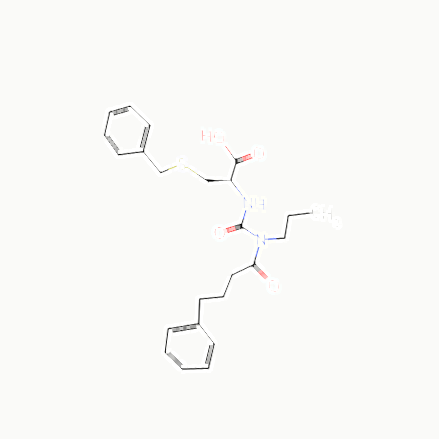 CCCN(C(=O)CCCc1ccccc1)C(=O)N[C@@H](CSCc1ccccc1)C(=O)O